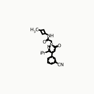 CC1CC(NC(=O)Cn2nc(C(C)C)c(-c3cccc(C#N)c3)cc2=O)C1